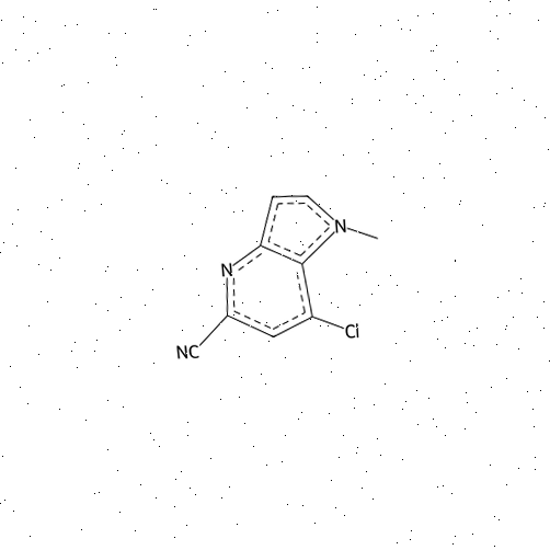 Cn1ccc2nc(C#N)cc(Cl)c21